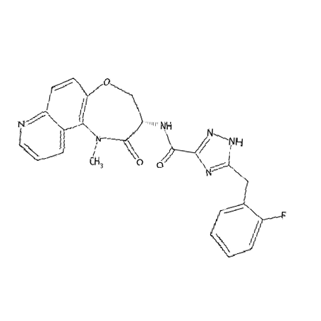 CN1C(=O)[C@@H](NC(=O)c2n[nH]c(Cc3ccccc3F)n2)COc2ccc3ncccc3c21